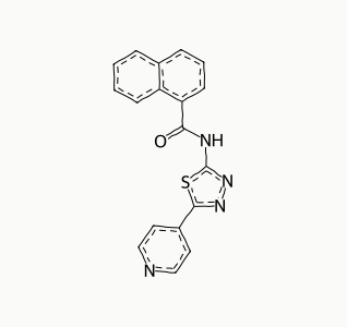 O=C(Nc1nnc(-c2ccncc2)s1)c1cccc2ccccc12